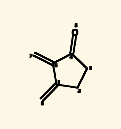 C=C1CCC(=O)C1=C